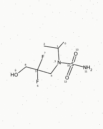 CC(C)N(CC(F)(F)CO)S(N)(=O)=O